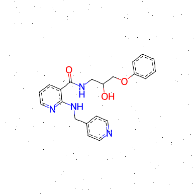 O=C(NCC(O)COc1ccccc1)c1cccnc1NCc1ccncc1